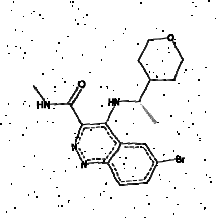 CNC(=O)c1nnc2ccc(Br)cc2c1N[C@@H](C)C1CCOCC1